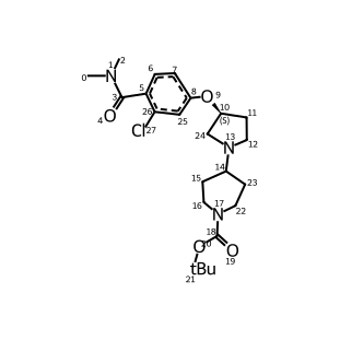 CN(C)C(=O)c1ccc(O[C@H]2CCN(C3CCN(C(=O)OC(C)(C)C)CC3)C2)cc1Cl